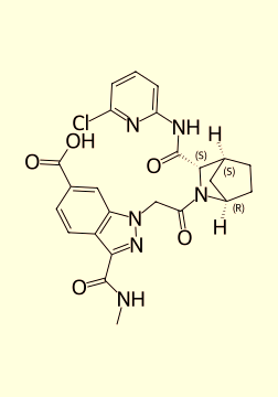 CNC(=O)c1nn(CC(=O)N2[C@@H]3CC[C@@H](C3)[C@H]2C(=O)Nc2cccc(Cl)n2)c2cc(C(=O)O)ccc12